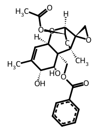 CC(=O)O[C@@H]1C[C@]2(C)[C@@]3(COC(=O)c4ccccc4)[C@H](O)[C@H](O)C(C)=C[C@H]3O[C@H]1[C@@]21CO1